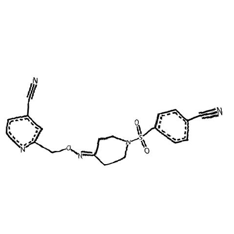 N#Cc1ccc(S(=O)(=O)N2CCC(=NOCc3cc(C#N)ccn3)CC2)cc1